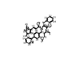 COCCN(C)C(=O)[C@H](Cc1ccccc1)N(Cc1ccc(-c2ccccn2)cc1)C(=O)C=Cc1cc(C)nn1C